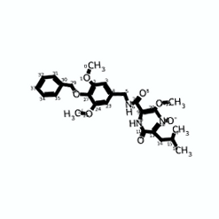 COc1cc(CNC(=O)c2[nH]c(=O)c(CC(C)C)[n+]([O-])c2OC)cc(OC)c1OCc1ccccc1